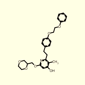 Cc1c(O)cc(OCC2COCCO2)nc1CCc1ccc(OCCOc2ccccc2)cc1